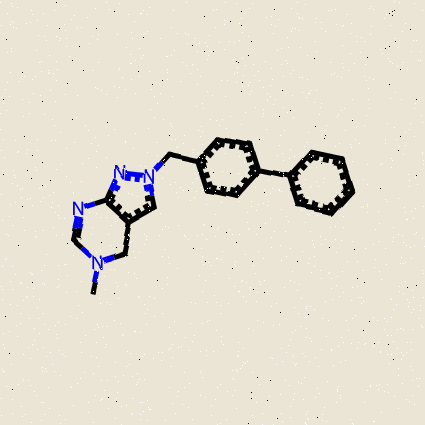 CN1C=Nc2nn(Cc3ccc(-c4ccccc4)cc3)cc2C1